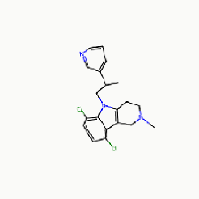 CC(Cn1c2c(c3c(Cl)ccc(Cl)c31)CN(C)CC2)c1cccnc1